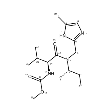 CC[C@H](C)N(Cc1ncc(I)[nH]1)C(=O)[C@@H](NC(=O)OC)C(C)C